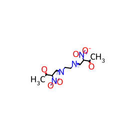 CC(=O)C(/C=N/CC/N=C/C(C(C)=O)[N+](=O)[O-])[N+](=O)[O-]